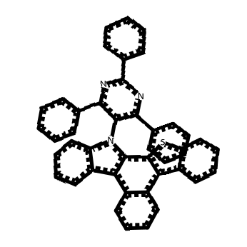 c1ccc(-c2nc(-c3ccccc3)c(-n3c4ccccc4c4c5ccccc5c5c6ccccc6sc5c43)c(-c3ccccc3)n2)cc1